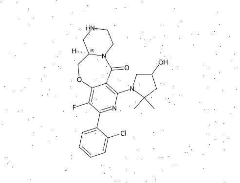 CC1(C)CC(O)CN1c1nc(-c2ccccc2Cl)c(F)c2c1C(=O)N1CCNC[C@@H]1CO2